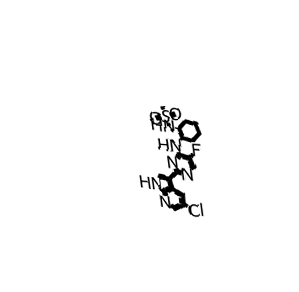 CS(=O)(=O)N[C@@H]1CCCC[C@H]1Nc1nc(-c2c[nH]c3ncc(Cl)cc23)ncc1F